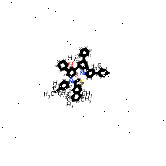 Cc1ccccc1-c1ccc2c(c1)c1cc(-c3ccccc3C)cc3c1n2B1c2sc4cc5c(cc4c2N(c2ccc(C(C)(C)C)cc2)c2cc4c(oc6ccccc64)c-3c21)C(C)(C)CCC5(C)C